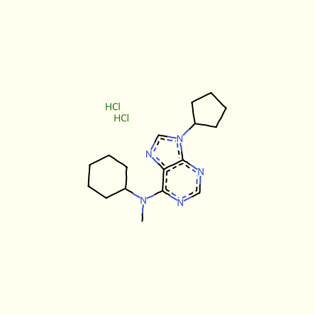 CN(c1ncnc2c1ncn2C1CCCC1)C1CCCCC1.Cl.Cl